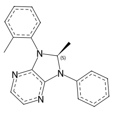 Cc1ccccc1N1c2nccnc2N(c2ccccc2)[C@@H]1C